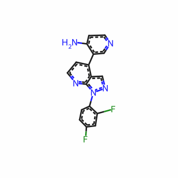 Nc1ccncc1-c1ccnc2c1cnn2-c1ccc(F)cc1F